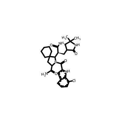 CC1(C)CC(C[C@H](C(N)=O)C2N(C(=O)c3cc4cccc(Cl)c4[nH]3)C(C(N)=O)CC23CCCCC3)C(=O)N1